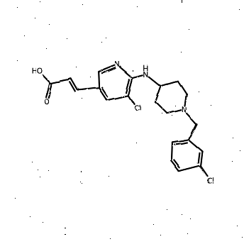 O=C(O)C=Cc1cnc(NC2CCN(Cc3cccc(Cl)c3)CC2)c(Cl)c1